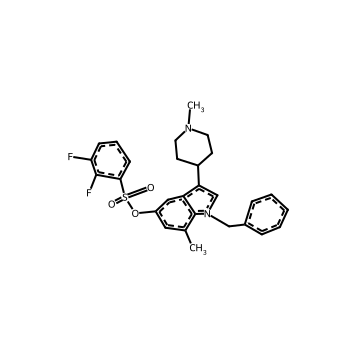 Cc1cc(OS(=O)(=O)c2cccc(F)c2F)cc2c(C3CCN(C)CC3)cn(Cc3ccccc3)c12